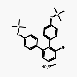 CS(=O)(=O)O.C[Si](C)(C)Oc1ccc(-c2cccc(S)c2-c2ccc(O[Si](C)(C)C)cc2)cc1